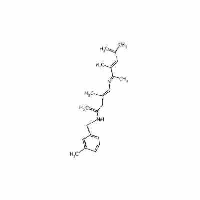 C=C(C)/C=C(C)/C(C)=N/C=C(\C)CC(=C)NCc1cccc(C)c1